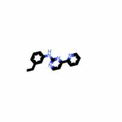 CCc1cccc(Nc2nccc(-c3ccccn3)n2)c1